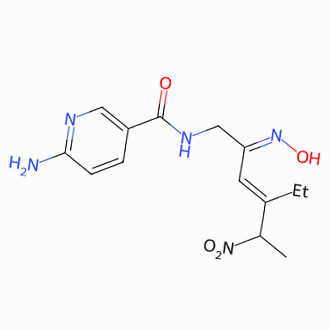 CC/C(=C\C(CNC(=O)c1ccc(N)nc1)=N/O)C(C)[N+](=O)[O-]